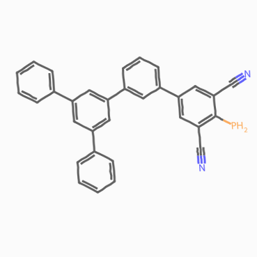 N#Cc1cc(-c2cccc(-c3cc(-c4ccccc4)cc(-c4ccccc4)c3)c2)cc(C#N)c1P